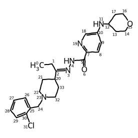 CC/C(=N\NC(=O)c1ccc(NC2CCOCC2)cn1)C1CCN(Cc2ccccc2Cl)CC1